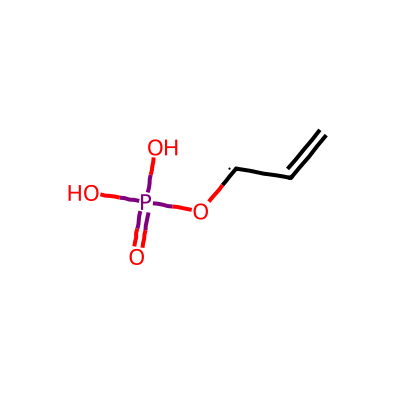 C=C[CH]OP(=O)(O)O